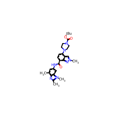 Cc1cc(NC(=O)c2ccc(N3CCN(C(=O)OC(C)(C)C)CC3)c3cn(C)nc23)cc2c1nc(C)n2C